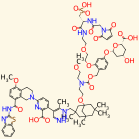 COCCN(CCOC12CC(C)(C)CC(C)(CC(C)(CN/C(C)=C(\C=N)c3ccc(N4CCc5c(OC)ccc(C(=O)Nc6nc7ccccc7s6)c5C4)nc3C(=O)O)C1)C2)C(=O)OCc1ccc(O[C@H]2C[C@@H](O)C[C@@H](C(=O)O)O2)cc1OCCOCCNC(=O)[C@H](CS(=O)(=O)O)NC(=O)CN1C(=O)C=CC1=O